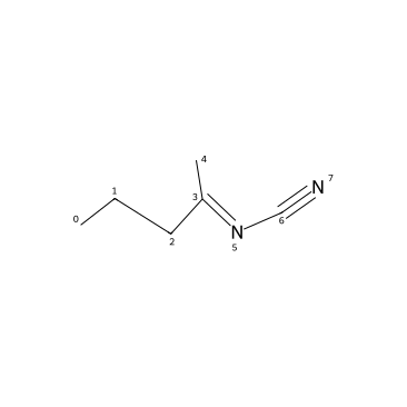 CCC/C(C)=N/C#N